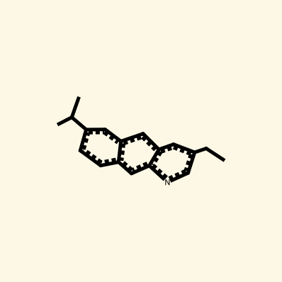 CCc1cnc2cc3ccc(C(C)C)cc3cc2c1